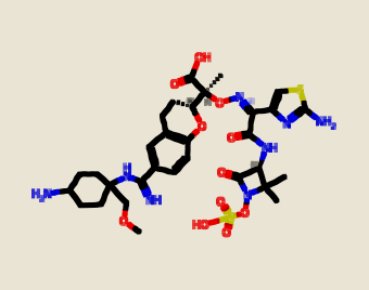 COCC1(NC(=N)c2ccc3c(c2)CC[C@H]([C@](C)(O/N=C(\C(=O)N[C@@H]2C(=O)N(OS(=O)(=O)O)C2(C)C)c2csc(N)n2)C(=O)O)O3)CCC(N)CC1